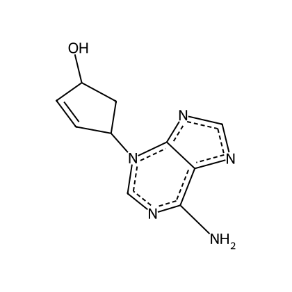 Nc1ncn(C2C=CC(O)C2)c2ncnc1-2